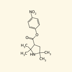 CC1(C)CC(C(=O)Oc2ccc([N+](=O)[O-])cc2)C(C)(C)N1